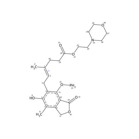 C/C(=C\Cc1c(O)c(C)c2c(c1OP)C(=O)OC2)CCC(=O)OCCN1CCOCC1